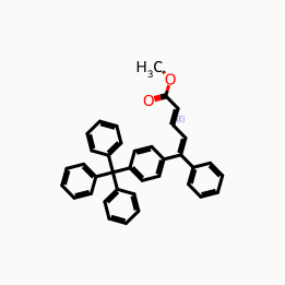 COC(=O)/C=C/C=C(c1ccccc1)c1ccc(C(c2ccccc2)(c2ccccc2)c2ccccc2)cc1